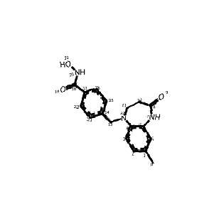 Cc1ccc2c(c1)NC(=O)CCN2Cc1ccc(C(=O)NO)cc1